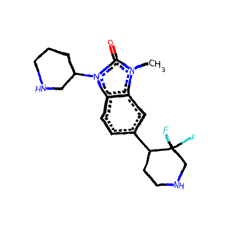 Cn1c(=O)n(C2CCCNC2)c2ccc(C3CCNCC3(F)F)cc21